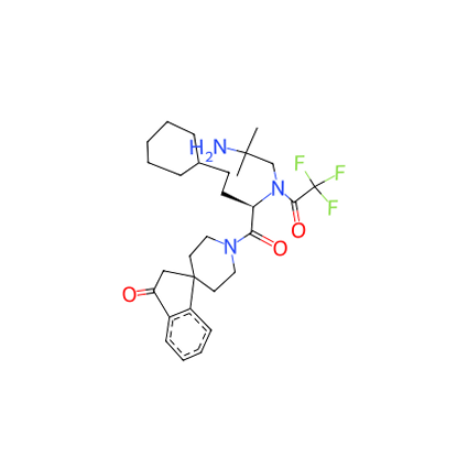 CC(C)(N)CN(C(=O)C(F)(F)F)[C@H](CCC1CCCCC1)C(=O)N1CCC2(CC1)CC(=O)c1ccccc12